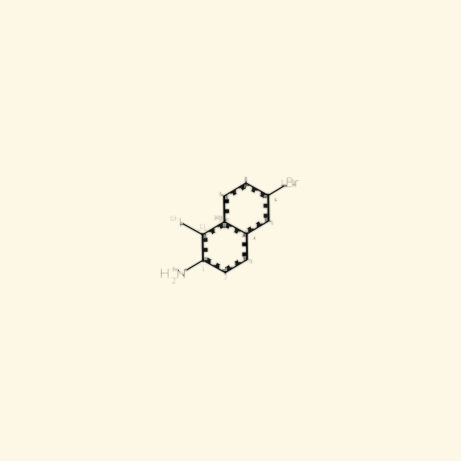 Nc1ccc2cc(Br)ccc2c1I